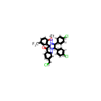 CCOc1ccc(C(F)(F)F)cc1C1(C(=O)c2ccc(CCl)cc2)NC(c2ccc(Cl)cc2)C(c2ccc(Cl)cc2)N1